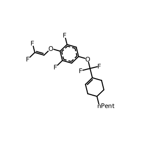 CCCCCC1CC=C(C(F)(F)Oc2cc(F)c(OC=C(F)F)c(F)c2)CC1